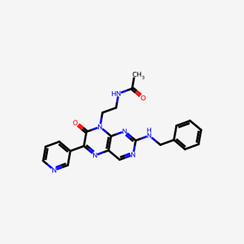 CC(=O)NCCn1c(=O)c(-c2cccnc2)nc2cnc(NCc3ccccc3)nc21